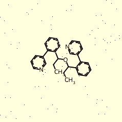 CCC(OC(CC)c1ccccc1-c1cccnc1)c1ccccc1-c1cccnc1